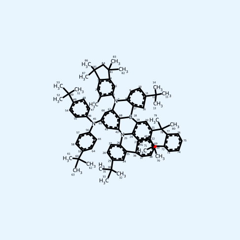 Cc1cc2c(cc1N1c3ccc(C(C)(C)C)cc3B3c4cc5c(cc4N(c4ccc(C(C)(C)C)cc4-c4ccccc4)c4cc(N(c6ccc(C(C)(C)C)cc6)c6ccc(C(C)(C)C)cc6)cc1c43)C(C)(C)c1ccccc1C5(C)C)C(C)(C)CC2(C)C